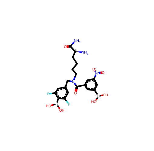 NC(=O)[C@@H](N)CCCCN(Cc1cc(F)c(B(O)O)c(F)c1)C(=O)c1cc(B(O)O)cc([N+](=O)[O-])c1